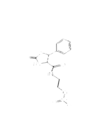 O=C1NC(C(=O)NCCO[N+](=O)[O-])C(c2ccccc2)S1